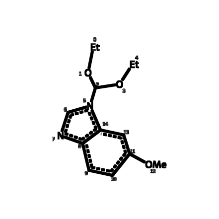 CCOC(OCC)n1cnc2ccc(OC)cc21